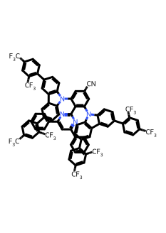 N#Cc1cc(-n2c3ccc(-c4ccc(C(F)(F)F)cc4C(F)(F)F)cc3c3cc(-c4ccc(C(F)(F)F)cc4C(F)(F)F)ccc32)c(-c2nc(-c3ccccc3)cc(-c3ccccc3)n2)c(-n2c3ccc(-c4ccc(C(F)(F)F)cc4C(F)(F)F)cc3c3cc(-c4ccc(C(F)(F)F)cc4C(F)(F)F)ccc32)c1